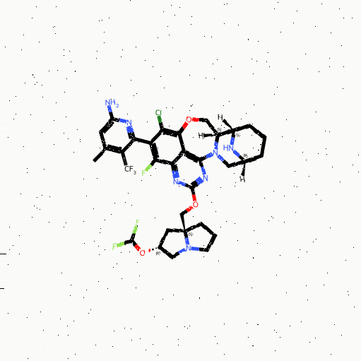 Cc1cc(N)nc(-c2c(Cl)c3c4c(nc(OC[C@@]56CCCN5C[C@H](OC(F)F)C6)nc4c2F)N2C[C@H]4CCC[C@H](N4)[C@H]2CO3)c1C(F)(F)F